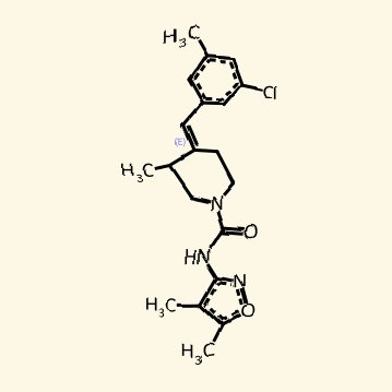 Cc1cc(Cl)cc(/C=C2\CCN(C(=O)Nc3noc(C)c3C)CC2C)c1